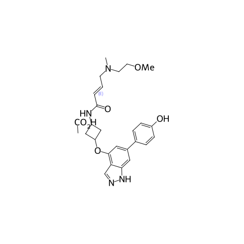 CC(=O)O.COCCN(C)C/C=C/C(=O)NC1CC(Oc2cc(-c3ccc(O)cc3)cc3[nH]ncc23)C1